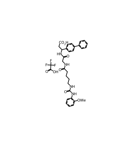 COc1ccccc1NC(=O)NCCCCC(=O)NCC(=O)NC(CC(=O)O)c1ccc(-c2ccccc2)cc1.O=C(O)C(F)(F)F